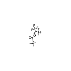 CC1(C)CC1C(=O)OC=C(C(F)(F)F)C(F)(F)F